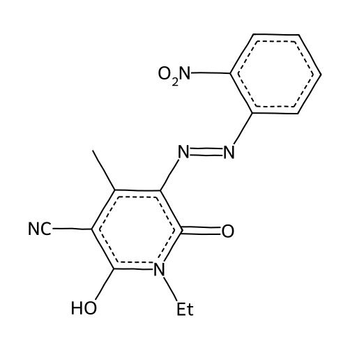 CCn1c(O)c(C#N)c(C)c(N=Nc2ccccc2[N+](=O)[O-])c1=O